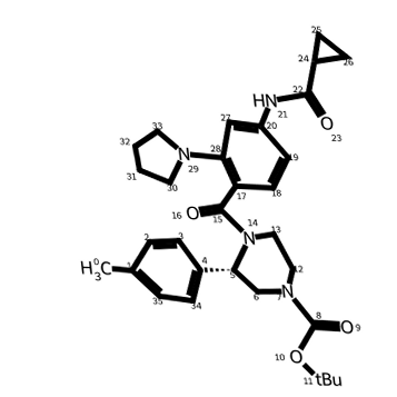 Cc1ccc([C@H]2CN(C(=O)OC(C)(C)C)CCN2C(=O)c2ccc(NC(=O)C3CC3)cc2N2CCCC2)cc1